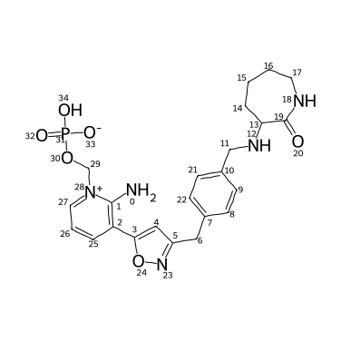 Nc1c(-c2cc(Cc3ccc(CNC4CCCCNC4=O)cc3)no2)ccc[n+]1COP(=O)([O-])O